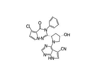 N#Cc1c[nH]c2ncnc(N3C[C@@H](O)C[C@H]3c3nn4ccc(Cl)c4c(=O)n3-c3ccccc3)c12